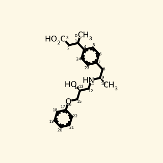 CC(CC(=O)O)c1ccc(C[C@@H](C)NC[C@H](O)COc2ccccc2)cc1